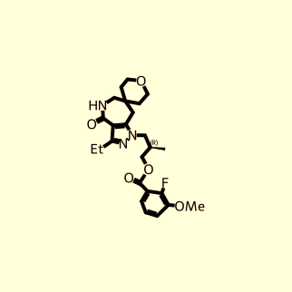 CCc1nn(C[C@@H](C)COC(=O)c2cccc(OC)c2F)c2c1C(=O)NCC1(CCOCC1)C2